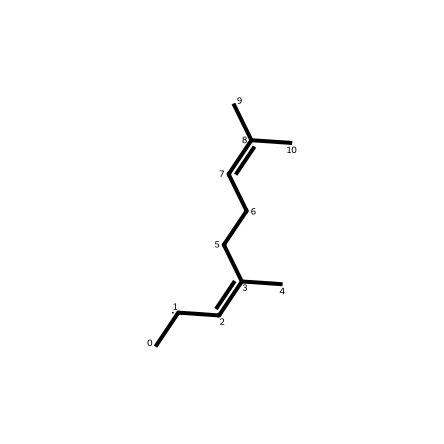 C[CH]C=C(C)CCC=C(C)C